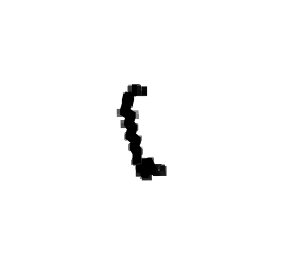 CCc1cn(CCCCCCCCCC#CC(C)(C)C)nn1